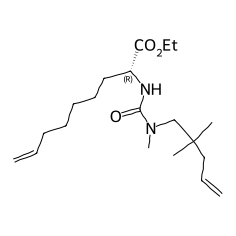 C=CCCCCC[C@@H](NC(=O)N(C)CC(C)(C)CC=C)C(=O)OCC